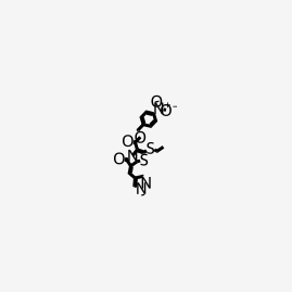 CCSC1=C(C(=O)OCc2ccc([N+](=O)[O-])cc2)N2C(=O)/C(=C/c3cnn(C)c3)C2S1